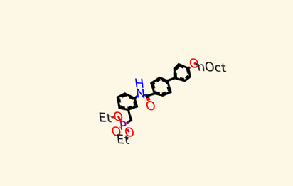 CCCCCCCCOc1ccc(-c2ccc(C(=O)Nc3cccc(CP(=O)(OCC)OCC)c3)cc2)cc1